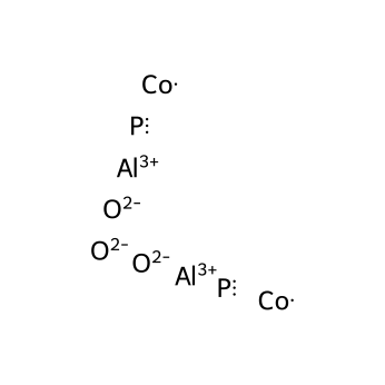 [Al+3].[Al+3].[Co].[Co].[O-2].[O-2].[O-2].[P].[P]